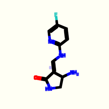 NC1CNC(=O)/C1=C/Nc1ccc(F)cn1